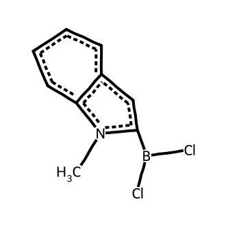 Cn1c(B(Cl)Cl)cc2ccccc21